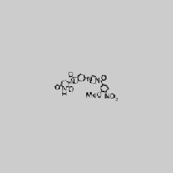 COc1cc(C(=O)N2CCN(c3ccc4c(c3)CN(C3CCC(=O)NC3=O)C4=O)CC2)ccc1[N+](=O)[O-]